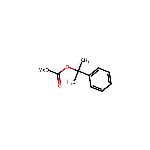 COC(=O)OC(C)(C)c1ccccc1